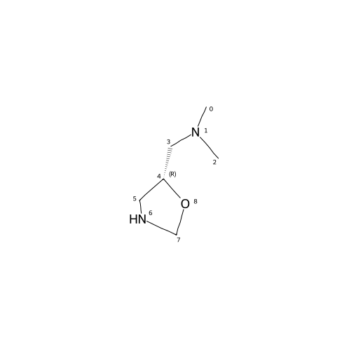 CN(C)C[C@H]1CNCO1